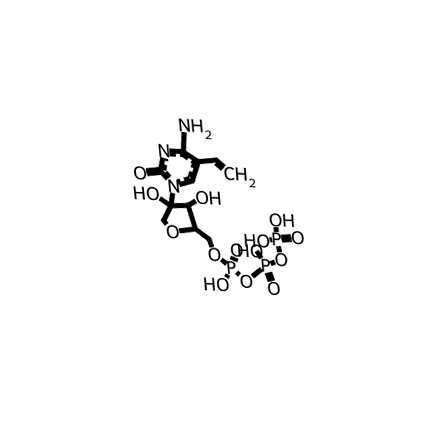 C=Cc1cn(C2(O)COC(COP(=O)(O)OP(=O)(O)OP(=O)(O)O)C2O)c(=O)nc1N